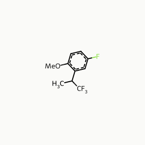 COc1ccc(F)cc1C(C)C(F)(F)F